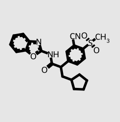 CS(=O)(=O)c1ccc(C(CC2CCCC2)C(=O)Nc2nc3ccccc3o2)cc1C#N